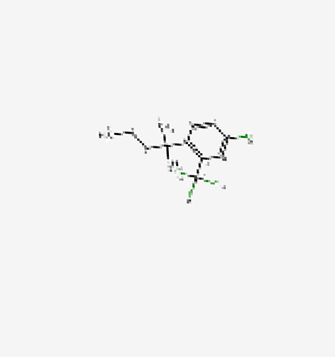 CCCC(C)(C)c1ccc(Cl)cc1C(F)(F)F